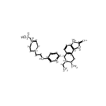 C[C@@H]1Cc2c(ccc3[nH]c(=O)oc23)[C@@H](c2ccc(OCCN3CCN(C(=O)O)CC3)cn2)N1CC(F)(F)F